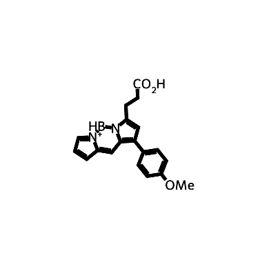 COc1ccc(-c2cc(CCC(=O)O)n3c2C=C2C=CC=[N+]2B3)cc1